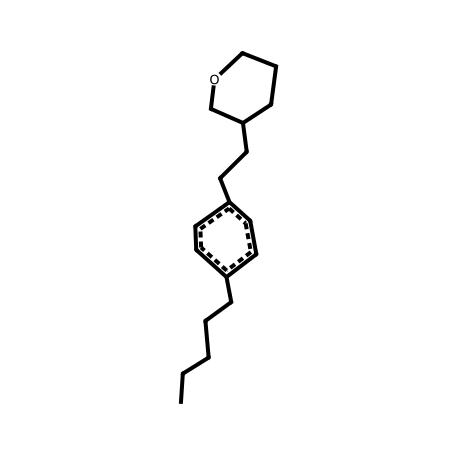 CCCCCc1ccc(CCC2CCCOC2)cc1